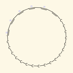 [C]1=C/C=C\C=C/C=C\C=C/C=CCCCCCCCCCCCCCCCCCC\1